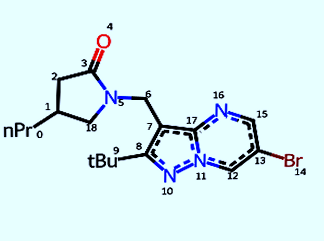 CCCC1CC(=O)N(Cc2c(C(C)(C)C)nn3cc(Br)cnc23)C1